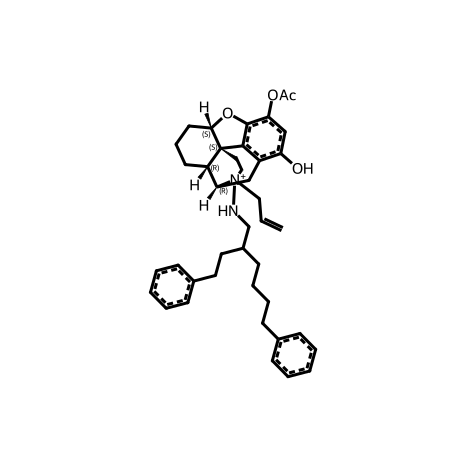 C=CC[N+]1(NCC(CCCCc2ccccc2)CCc2ccccc2)CC[C@]23c4c5c(O)cc(OC(C)=O)c4O[C@H]2CCC[C@H]3[C@H]1C5